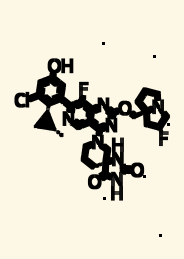 C[C@@H]1C[C@@H]1c1c(Cl)cc(O)cc1-c1ncc2c(N3CCC[C@]4(C3)NC(=O)NC4=O)nc(OC[C@@]34CCCN3C[C@H](F)C4)nc2c1F